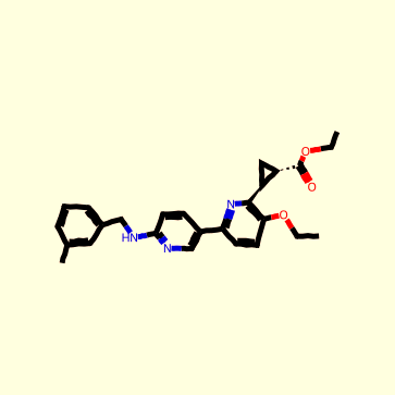 CCOC(=O)[C@H]1C[C@@H]1c1nc(-c2ccc(NCc3cccc(C)c3)nc2)ccc1OCC